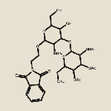 CC(=O)NC1C(OCCN2C(=O)c3ccccc3C2=O)OC(CO)C(O)C1OC1OC(COC(C)=O)C(OC(C)=O)C(OC(C)=O)C1NC(C)=O